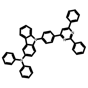 c1ccc(-c2cc(-c3ccc(-n4c5ccccc5c5cc(N(c6ccccc6)c6ccccc6)ccc54)cc3)nc(-c3ccccc3)n2)cc1